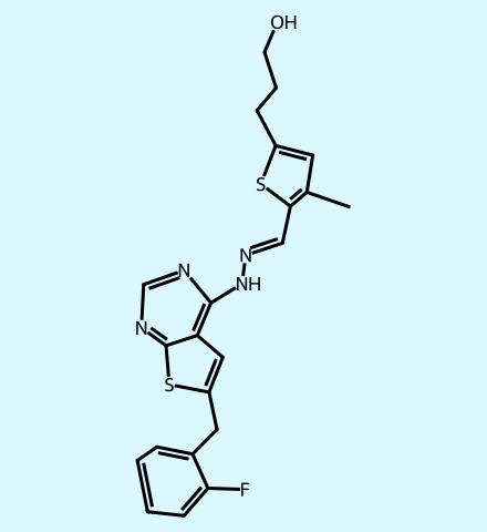 Cc1cc(CCCO)sc1C=NNc1ncnc2sc(Cc3ccccc3F)cc12